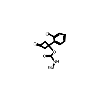 CC(C)(C)NC(=O)OC1(c2ccccc2Cl)CC(=O)C1